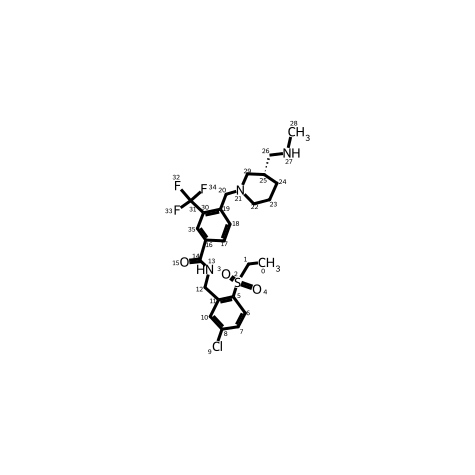 CCS(=O)(=O)c1ccc(Cl)cc1CNC(=O)c1ccc(CN2CCC[C@@H](CNC)C2)c(C(F)(F)F)c1